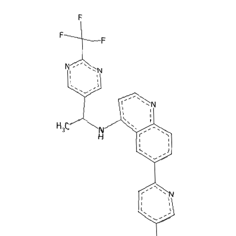 Cc1ccc(-c2ccc3nccc(NC(C)c4cnc(C(F)(F)F)nc4)c3c2)nc1